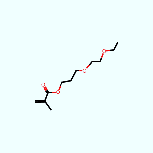 C=C(C)C(=O)OCCCOCCOCC